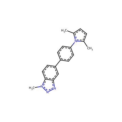 Cc1ccc(C)n1-c1ccc(-c2ccc3c(c2)nnn3C)cc1